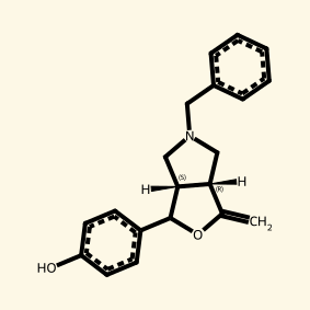 C=C1OC(c2ccc(O)cc2)[C@@H]2CN(Cc3ccccc3)C[C@H]12